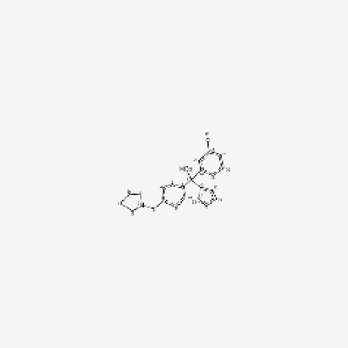 OC(c1ccc(CN2CCCC2)cc1)(c1cccc(Cl)c1)c1cccs1